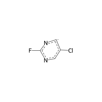 Fc1n[c]c(Cl)cn1